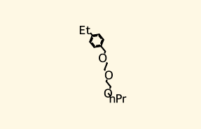 CCCOCCOCCOCc1ccc(CC)cc1